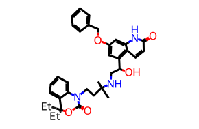 CCC1(CC)OC(=O)N(CCC(C)(C)NCC(O)c2cc(OCc3ccccc3)cc3[nH]c(=O)ccc23)c2ccccc21